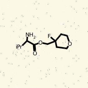 CC(C)C(N)C(=O)OCC1(F)CCOCC1